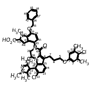 Cc1cc(OCCCc2c3n(c4c(-c5c(C)nn(C)c5C)c(Cl)ccc24)C(C)CN(c2ccc(OCc4ccccc4)c4c2cc(C(=O)O)n4C)C3=O)cc(C)c1Cl